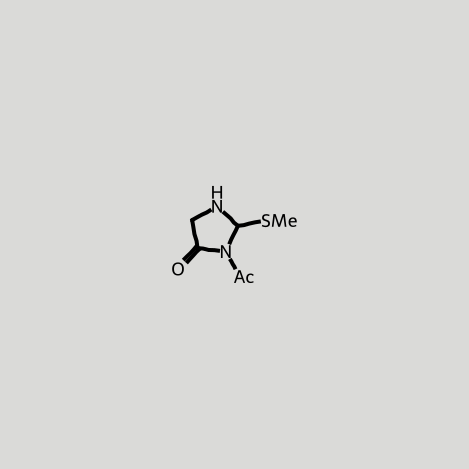 CSC1NCC(=O)N1C(C)=O